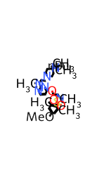 CCCCC1(N(C)C)CCN(CCN(C)c2nccc(OCCN(C)S(=O)(=O)c3c(C)cc(OC)cc3C)n2)CC1